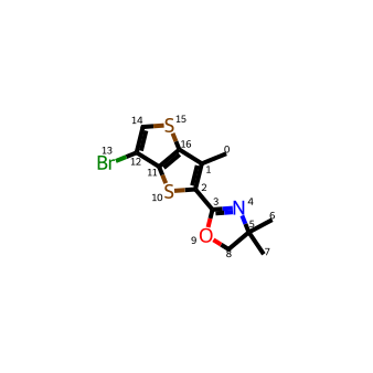 Cc1c(C2=NC(C)(C)CO2)sc2c(Br)csc12